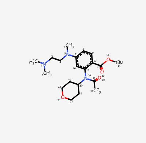 CN(C)CCN(C)c1ccc(C(=O)OC(C)(C)C)c(N(C(=O)C(F)(F)F)C2CCOCC2)c1